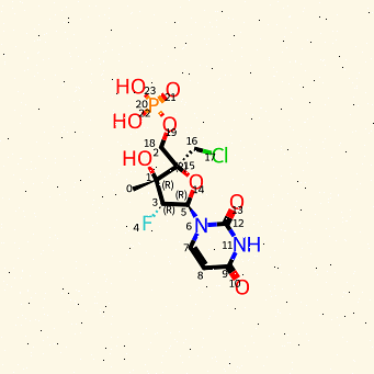 C[C@]1(O)[C@@H](F)[C@H](n2ccc(=O)[nH]c2=O)O[C@]1(CCl)COP(=O)(O)O